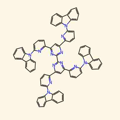 c1cc(-c2cc(-c3cccc(-n4c5ccccc5c5ccccc54)n3)nc(-c3nc(-c4cccc(-n5c6ccccc6c6ccccc65)n4)cc(-c4cccc(-n5c6ccccc6c6ccccc65)n4)n3)n2)nc(-n2c3ccccc3c3ccccc32)c1